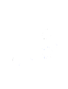 CC1CN(Cc2ccccn2)CC1c1nn2c(-c3ccc(F)cc3)ncc2c(=O)[nH]1